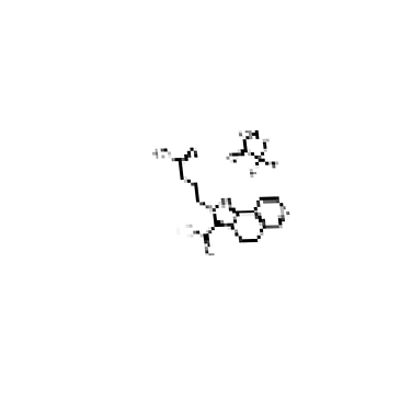 O=C(O)C(F)(F)F.O=C(O)CCCn1nc2c(c1C(=O)O)CCc1cnccc1-2